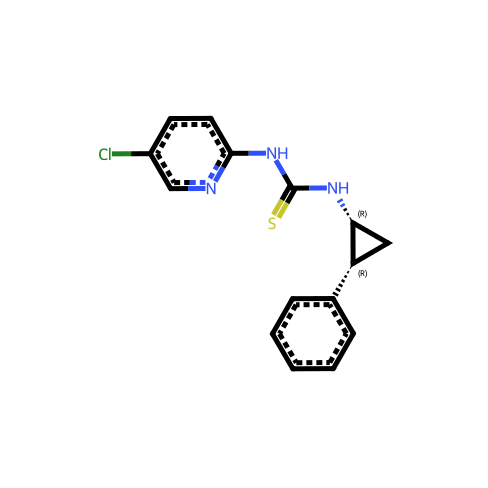 S=C(Nc1ccc(Cl)cn1)N[C@@H]1C[C@@H]1c1ccccc1